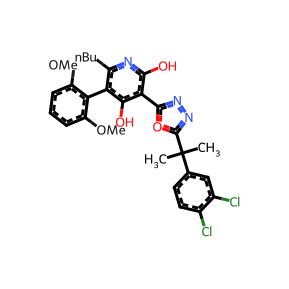 CCCCc1nc(O)c(-c2nnc(C(C)(C)c3ccc(Cl)c(Cl)c3)o2)c(O)c1-c1c(OC)cccc1OC